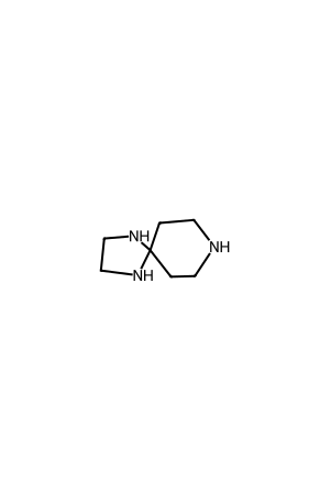 C1CC2(CCN1)NCCN2